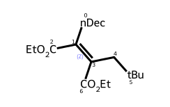 CCCCCCCCCC/C(C(=O)OCC)=C(\CC(C)(C)C)C(=O)OCC